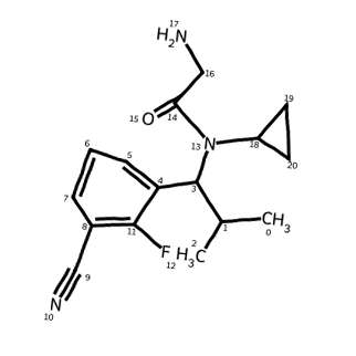 CC(C)C(c1cccc(C#N)c1F)N(C(=O)CN)C1CC1